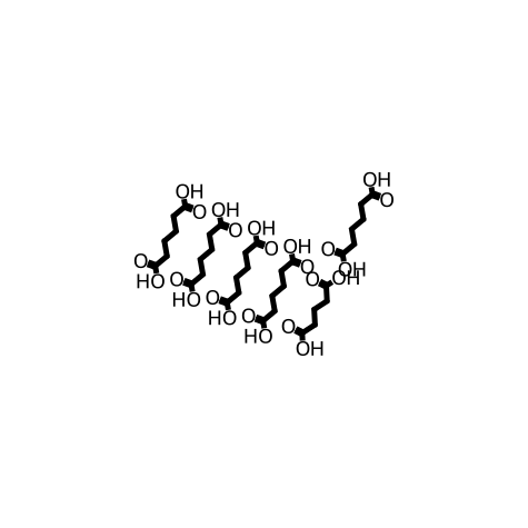 O=C(O)CCCC(=O)O.O=C(O)CCCCC(=O)O.O=C(O)CCCCC(=O)O.O=C(O)CCCCC(=O)O.O=C(O)CCCCC(=O)O.O=C(O)CCCCC(=O)O